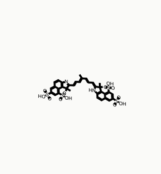 CC(C=CC=C1Nc2ccc3cc(S(=O)(=O)O)cc(S(=O)(=O)O)c3c2C1(C)C)=CC=CC1=Nc2ccc3cc(S(=O)(=O)O)cc(S(=O)(=O)O)c3c2C1(C)C